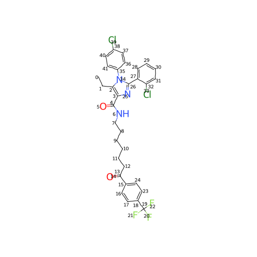 CCc1c(C(=O)NCCCCCCC(=O)c2ccc(C(F)(F)F)cc2)nc(-c2ccccc2Cl)n1-c1ccc(Cl)cc1